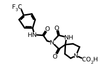 O=C(CN1C(=O)NC2(CCN(C(=O)O)CC2)C1=O)Nc1ccc(C(F)(F)F)cc1